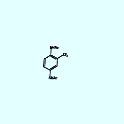 CC(=O)Nc1ccc(NC(C)=O)c(C(F)(F)F)c1